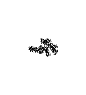 c1ccc(-c2cc(-c3cc(-c4cccc5c4oc4ccccc45)cc(-c4cccc5c4oc4ccccc45)c3)nc(-c3cccc4c(-c5ccc(-c6ccccn6)cc5)cccc34)n2)cc1